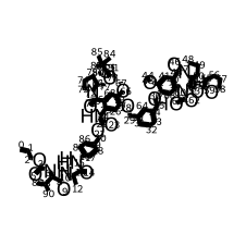 C=CCOC(=O)NC(C(=O)NC(C)C(=O)Nc1ccc(COC(=O)Nc2cc(OCc3cccc(COc4cc5c(cc4OC)C(=O)N4CCC[C@H]4[C@H](OC4CCCCO4)N5C(=O)O)c3)c(OC)cc2C(=O)N2CCC[C@H]2CO[Si](C)(C)C(C)(C)C)cc1)C(C)C